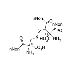 CCCCCCCCCC(=O)C(SSC[C@](N)(C(=O)O)C(=O)CCCCCCCCC)[C@](N)(C(=O)O)C(=O)CCCCCCCCC